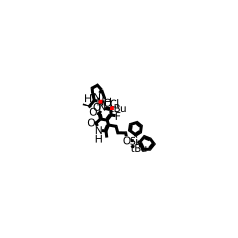 Cc1[nH]c(=O)c2c(O[C@@H](C)C3NCC4CC[C@@H]3N4C(=O)OC(C)(C)C)nc(Cl)c(F)c2c1CCCO[Si](c1ccccc1)(c1ccccc1)C(C)(C)C